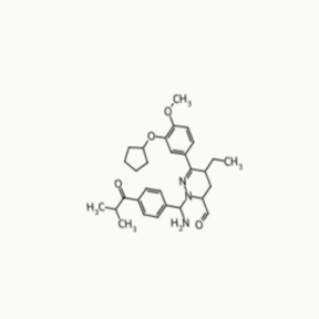 CCC1CC(C=O)N(C(N)c2ccc(C(=O)C(C)C)cc2)N=C1c1ccc(OC)c(OC2CCCC2)c1